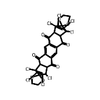 O=C1c2cc3c(cc2C(=O)C2C1C1(Cl)C(Cl)=C(Cl)C2(Cl)C12OCCO2)C(=O)C1C(C3=O)C2(Cl)C(Cl)=C(Cl)C1(Cl)C21OCCO1